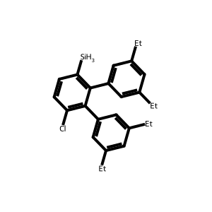 CCc1cc(CC)cc(-c2c([SiH3])ccc(Cl)c2-c2cc(CC)cc(CC)c2)c1